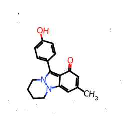 Cc1cc2n3n(c(-c4ccc(O)cc4)c-2c(=O)c1)CCCC3